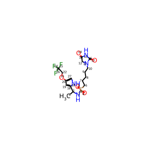 CC(NS(=O)(=O)CCCCCN1CC(=O)NC1=O)c1cc(OCC(F)(F)F)c[nH]1